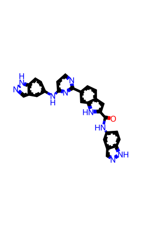 O=C(Nc1ccc2[nH]ncc2c1)c1cc2ccc(-c3nccc(Nc4ccc5[nH]ncc5c4)n3)cc2[nH]1